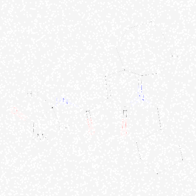 CSC(=O)C(C)(C)NC(=O)c1cc2c(n(CC3CCCCC3)c1=O)CCCCCC2